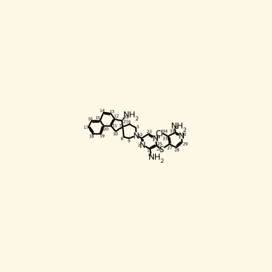 Nc1nc(N2CCC3(CC2)Cc2c(ccc4ccccc24)[C@H]3N)cnc1Sc1ccnc(N)c1Cl